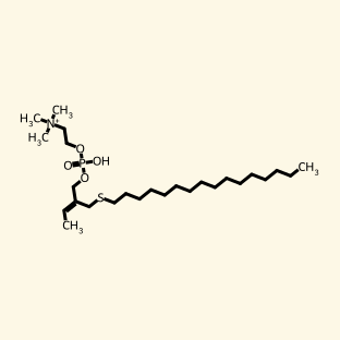 CC=C(COP(=O)(O)OCC[N+](C)(C)C)CSCCCCCCCCCCCCCCCC